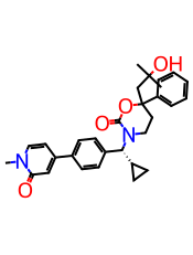 Cn1ccc(-c2ccc([C@@H](C3CC3)N3CCC(CC(C)(C)O)(c4ccccc4)OC3=O)cc2)cc1=O